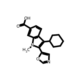 Cn1c(-c2cnco2)c(C2CCCCC2)c2ccc(C(=O)O)cc21